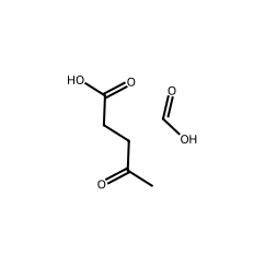 CC(=O)CCC(=O)O.O=CO